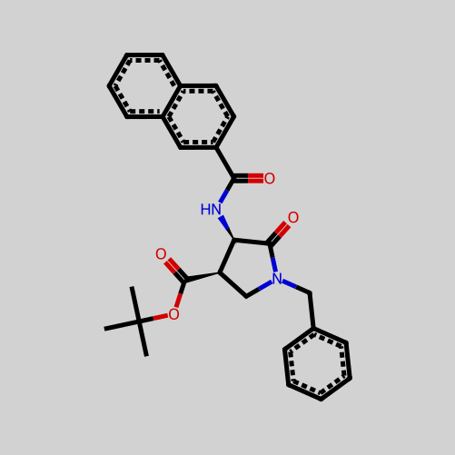 CC(C)(C)OC(=O)[C@@H]1CN(Cc2ccccc2)C(=O)[C@@H]1NC(=O)c1ccc2ccccc2c1